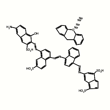 Nc1ccc2c(O)c(N=Nc3ccc(N=Nc4ccc(N=Nc5cc(S(=O)(=O)O)c6cccc(S(=O)(=O)O)c6c5)c5ccccc45)c4ccc(S(=O)(=O)O)cc34)c(S(=O)(=O)O)cc2c1.[Na].[Na].[Na].[Na].c1ccc2c(c1)Cc1ccccc1O2